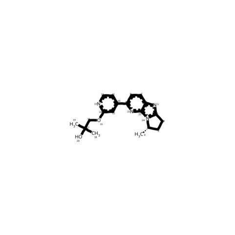 C[C@H]1CCc2nc3ccc(-c4ccnc(OCC(C)(C)O)c4)nc3n21